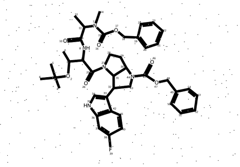 CC(OC(C)(C)C)C(NC(=O)C(C)N(C)C(=O)OCc1ccccc1)C(=O)N1CCC2C1C(c1c[nH]c3cc(F)ccc13)CN2C(=O)OCc1ccccc1